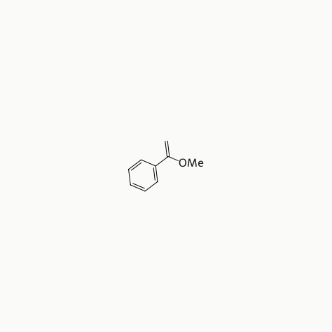 C=C(OC)c1ccccc1